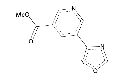 COC(=O)c1cncc(-c2ncon2)c1